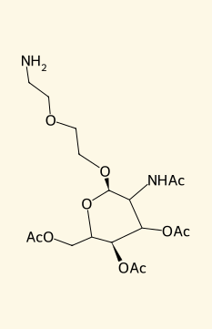 CC(=O)NC1C(OC(C)=O)[C@@H](OC(C)=O)C(COC(C)=O)O[C@H]1OCCOCCN